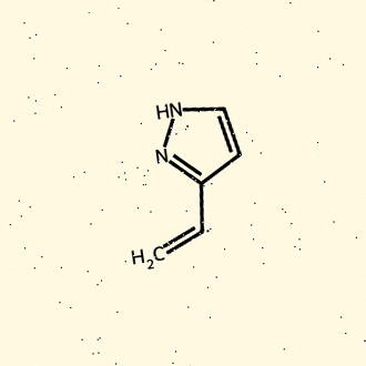 C=[C]c1cc[nH]n1